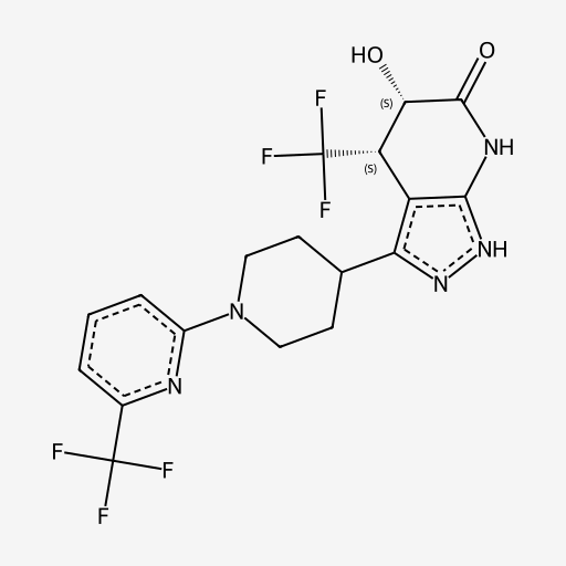 O=C1Nc2[nH]nc(C3CCN(c4cccc(C(F)(F)F)n4)CC3)c2[C@H](C(F)(F)F)[C@@H]1O